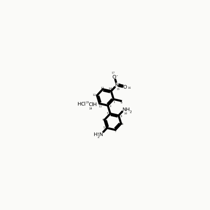 Cc1c(-c2cc(N)ccc2N)cccc1[N+](=O)[O-].Cl.Cl